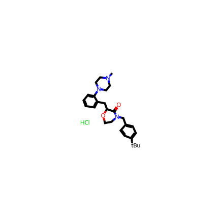 CN1CCN(c2ccccc2CC2OCCN(Cc3ccc(C(C)(C)C)cc3)C2=O)CC1.Cl